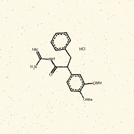 COc1ccc(C(Cc2ccccc2)C(=O)NC(=N)N)cc1OC.Cl